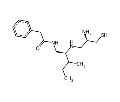 CCC(C)[C@@H](CNC(=O)Cc1ccccc1)NC[C@@H](N)CS